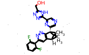 CC1(C)[C@H]2CC[C@]1(c1cncc(-c3nnc(CO)[nH]3)n1)c1nnc(-c3c(F)cccc3F)cc12